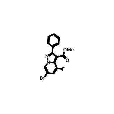 COC(=O)c1c(-c2ccccc2)nn2cc(Br)cc(F)c12